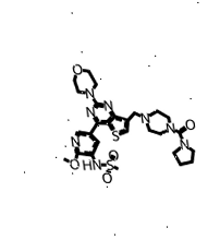 COc1ncc(-c2nc(N3CCOCC3)nc3c(CN4CCN(C(=O)N5CCCC5)CC4)csc23)cc1NS(C)(=O)=O